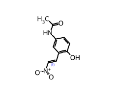 CC(=O)Nc1ccc(O)c(/C=C/[N+](=O)[O-])c1